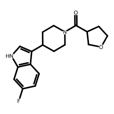 O=C(C1CCOC1)N1CCC(c2c[nH]c3cc(F)ccc23)CC1